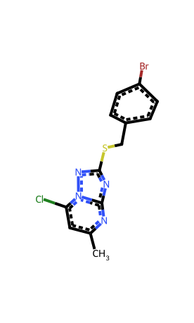 Cc1cc(Cl)n2nc(SCc3ccc(Br)cc3)nc2n1